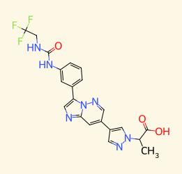 CC(C(=O)O)n1cc(-c2cnn3c(-c4cccc(NC(=O)NCC(F)(F)F)c4)cnc3c2)cn1